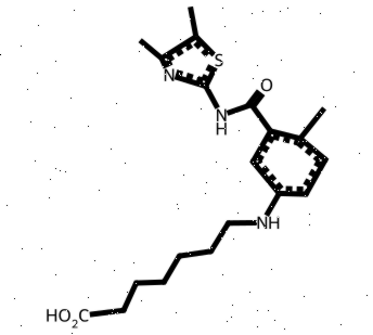 Cc1ccc(NCCCCCCC(=O)O)cc1C(=O)Nc1nc(C)c(C)s1